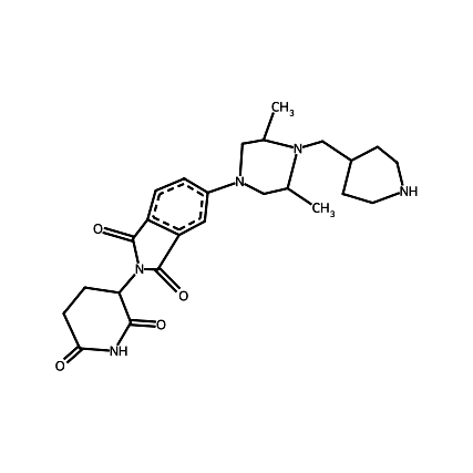 CC1CN(c2ccc3c(c2)C(=O)N(C2CCC(=O)NC2=O)C3=O)CC(C)N1CC1CCNCC1